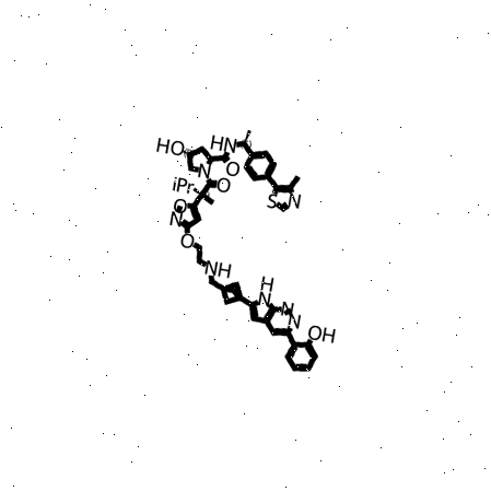 Cc1ncsc1-c1ccc([C@H](C)NC(=O)C2C[C@@H](O)CN2C(=O)[C@](C)(c2cc(OCCNCC34CC(c5cc6cc(-c7ccccc7O)nnc6[nH]5)(C3)C4)no2)C(C)C)cc1